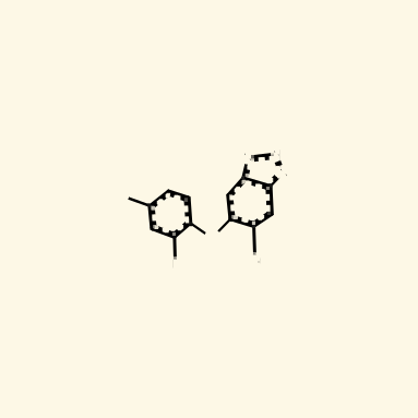 Fc1ccc(Oc2cc3nn[nH]c3cc2Br)c(F)c1